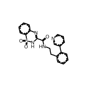 O=C(NCCc1ccccc1-c1cccnc1)C1=Nc2ccccc2S(=O)(=O)N1